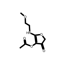 COCCNC1=C(OC(C)=O)C(=O)CO1